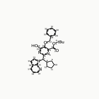 CC(C)(C)OC(=O)c1nc(C(C2CCCC2)n2ccc3cccnc32)nc(O)c1OCc1ccccc1